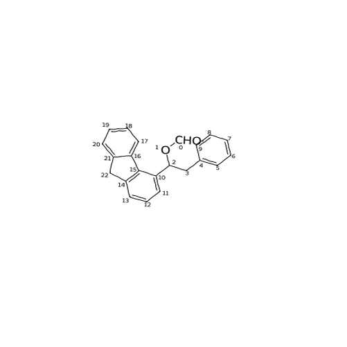 O=[C]OC(Cc1ccccc1)c1cccc2c1-c1ccccc1C2